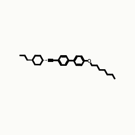 CCCCCCCOc1ccc(-c2ccc(C#C[C@H]3CC[C@H](CCC)CC3)cc2)cc1